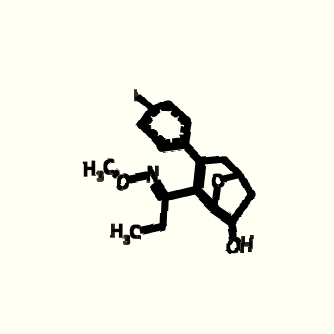 CCC(=NOC)C1=C(c2ccc(I)cc2)CC2CC(O)C1O2